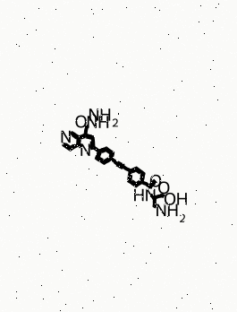 NCC(NC(=O)c1ccc(C#Cc2ccc(-c3cc(C(=O)NN)c4cnccc4n3)cc2)cc1)C(=O)O